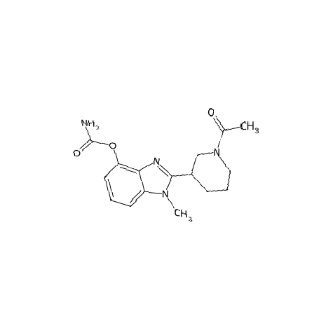 CC(=O)N1CCCC(c2nc3c(OC(N)=O)cccc3n2C)C1